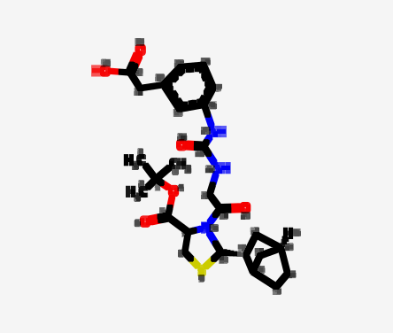 CC(C)(C)OC(=O)C1CSC([C@@H]2C[C@H]3CCC2C3)N1C(=O)CNC(=O)Nc1cccc(CC(=O)O)c1